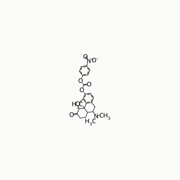 CN(C)[C@@H]1Cc2ccc(OC(=O)Oc3ccc([N+](=O)[O-])cc3)c3c2[C@@]2(C)C(O3)C(=O)CCC12